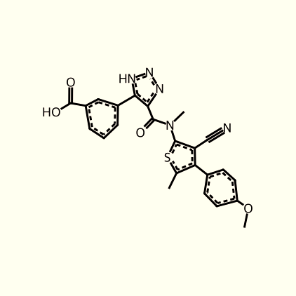 COc1ccc(-c2c(C)sc(N(C)C(=O)c3nn[nH]c3-c3cccc(C(=O)O)c3)c2C#N)cc1